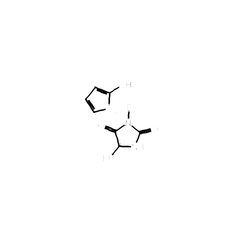 CCC1NC(=O)N(CC)C1=O.Cc1cccs1